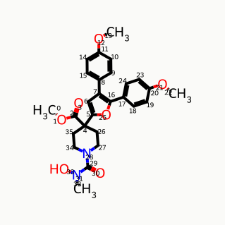 COC(=O)C1(c2cc(-c3ccc(OC)cc3)c(-c3ccc(OC)cc3)o2)CCN(C(=O)N(C)O)CC1